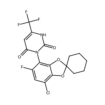 O=c1cc(C(F)(F)F)[nH]c(=O)n1-c1c(F)cc(Cl)c2c1OC1(CCCCC1)O2